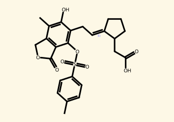 Cc1ccc(S(=O)(=O)Oc2c(C/C=C3\CCCC3CC(=O)O)c(O)c(C)c3c2C(=O)OC3)cc1